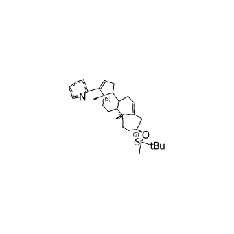 CC(C)(C)[Si](C)(C)O[C@H]1CC[C@@]2(C)C(=CCC3C2CC[C@]2(C)C(c4ccccn4)=CCC32)C1